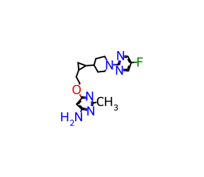 Cc1nc(N)cc(OCCC2CC2C2CCN(c3ncc(F)cn3)CC2)n1